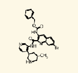 C[C@H]1[CH][C](c2ccncc2NC(=O)c2nc3cc(Br)ccc3cc2NC(=O)OCc2ccccc2)CNC1